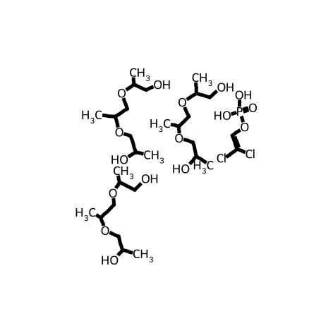 CC(O)COC(C)COC(C)CO.CC(O)COC(C)COC(C)CO.CC(O)COC(C)COC(C)CO.O=P(O)(O)OC=C(Cl)Cl